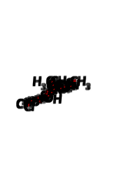 Cc1nccc(-c2ccc(C[C@H](NC(=O)[C@@H]3Cc4cc5c(cc4CN3C(=O)OC(C)C)O[C@@H](c3ccc(OCc4ccc(Cl)c(Cl)c4)cc3)CO5)C(=O)O)cc2)c1C